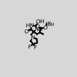 CC(CC1(CN2CCC(F)(F)C2)NC(O)NC1=O)C(=O)OC(C)(C)C